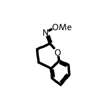 CON=C1CCc2ccccc2O1